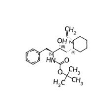 C=C[C@@H]1CCCC[C@@H]1C[C@@H](O)[C@H](Cc1ccccc1)NC(=O)OC(C)(C)C